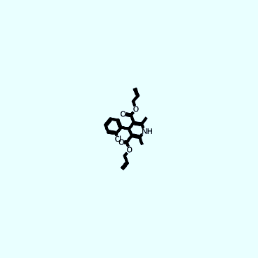 C=CCOC(=O)C1=C(C)NC(C)=C(C(=O)OCC=C)C1c1ccccc1Cl